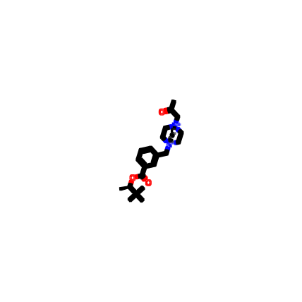 CC(=O)C[N+]12CC[N+](Cc3cccc(C(=O)O[C@H](C)C(C)(C)C)c3)(CC1)CC2